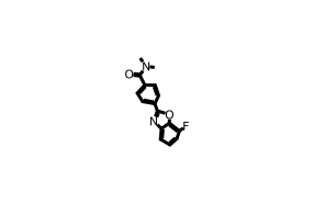 CN(C)C(=O)c1ccc(-c2nc3cccc(F)c3o2)cc1